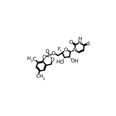 Cc1cc(C)c2c(c1)COP(=O)(OC[C@@]1(F)O[C@@H](n3ccc(=S)[nH]c3=O)[C@H](O)[C@@H]1O)O2